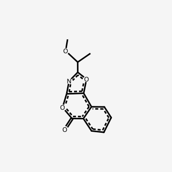 COC(C)c1nc2oc(=O)c3ccccc3c2o1